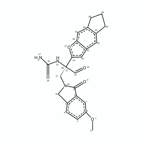 COc1ccc2c(c1)C(=O)N(C[C@](C=O)(NC(N)=O)c1cc3cc4c(cc3o1)CCC4)C2